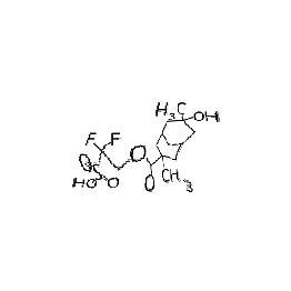 CC1(O)CC2CC(C1)CC(C)(C(=O)OCC(F)(F)S(=O)(=O)O)C2